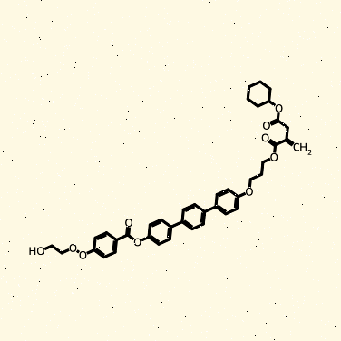 C=C(CC(=O)OC1CCCCC1)C(=O)OCCCOc1ccc(-c2ccc(-c3ccc(OC(=O)c4ccc(OOCCO)cc4)cc3)cc2)cc1